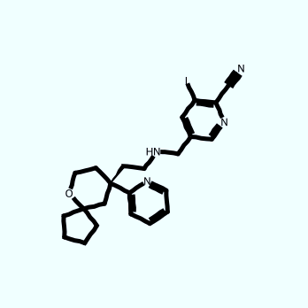 N#Cc1ncc(CNCC[C@]2(c3ccccn3)CCOC3(CCCC3)C2)cc1I